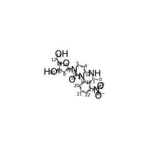 CC(Nc1ccn([C@H]2C[C@@H](O)[C@@H](CO)O2)c(=O)n1)c1ccccc1[N+](=O)[O-]